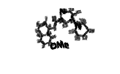 COc1ccc2cccc(C=Cc3cc(N4CCCCC4)c(C)cn3)c2c1